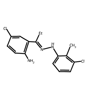 CC/C(=N\Nc1cccc(Cl)c1C)c1cc(Cl)ccc1N